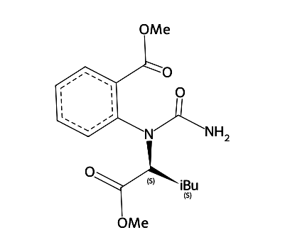 CC[C@H](C)[C@@H](C(=O)OC)N(C(N)=O)c1ccccc1C(=O)OC